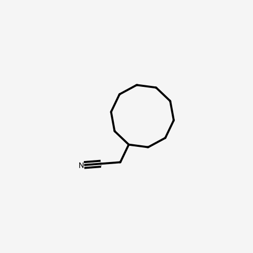 N#CCC1CCCCCCCCC1